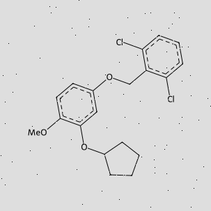 COc1ccc(OCc2c(Cl)cccc2Cl)cc1OC1CCCC1